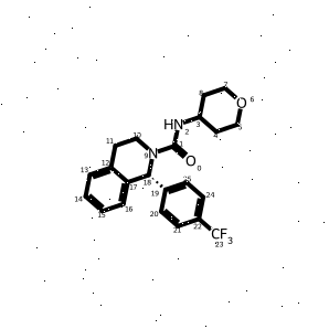 O=C(NC1CCOCC1)N1CCc2ccccc2[C@H]1c1ccc(C(F)(F)F)cc1